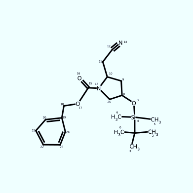 CC(C)(C)[Si](C)(C)OC1CC(CC#N)N(C(=O)OCc2ccccc2)C1